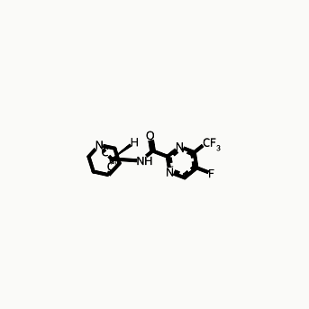 O=C(N[C@@H]1CC2CCN(CC2)C1)c1ncc(F)c(C(F)(F)F)n1